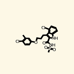 Cc1cc(OCCCc2c(C(=O)NS(C)(=O)=O)[nH]c3cccc(Cl)c23)ccc1Cl